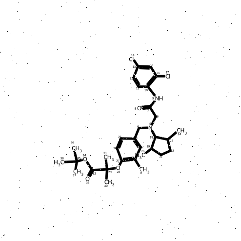 Cc1cc(CN(CC(=O)Nc2ccc(Cl)cc2Cl)C2C(C)CCC2C)ccc1OC(C)(C)C(=O)OC(C)(C)C